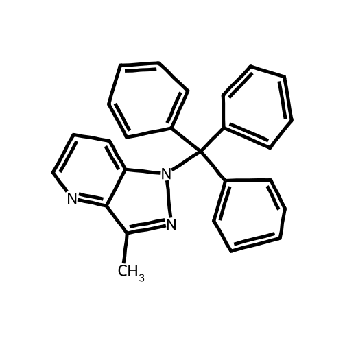 Cc1nn(C(c2ccccc2)(c2ccccc2)c2ccccc2)c2cccnc12